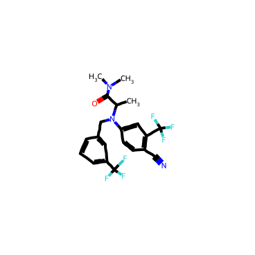 CC(C(=O)N(C)C)N(Cc1cccc(C(F)(F)F)c1)c1ccc(C#N)c(C(F)(F)F)c1